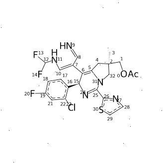 CC(=O)OC[C@]1(C)CC2=C(/C(C=N)=C/NC(F)F)[C@H](c3ccc(F)cc3Cl)N=C(c3nccs3)N2C1